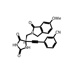 COc1ccc2c(c1)C(=O)N(C[C@@]1(C#Cc3cccc(C#N)c3)NC(=O)NC1=O)C2